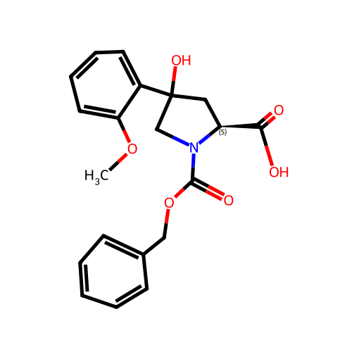 COc1ccccc1C1(O)C[C@@H](C(=O)O)N(C(=O)OCc2ccccc2)C1